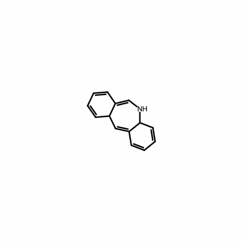 C1=CC2=CNC3C=CC=CC3=CC2C=C1